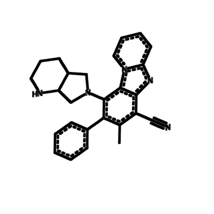 Cc1c(-c2ccccc2)c(N2CC3CCCNC3C2)c2c(nc3ccccn32)c1C#N